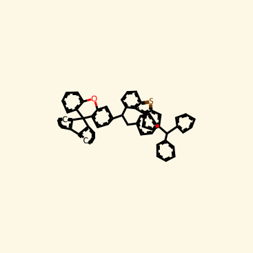 c1ccc(CC(c2ccc3c(c2)Oc2ccccc2C32c3ccccc3-c3ccccc32)c2cccc3sc4cc(C(c5ccccc5)c5ccccc5)ccc4c23)cc1